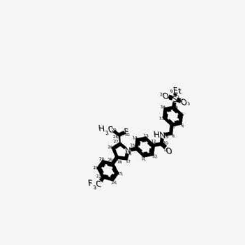 CCS(=O)(=O)c1ccc(CNC(=O)c2ccc(N3CC(c4ccc(C(F)(F)F)cc4)C[C@H]3C(C)F)cc2)cc1